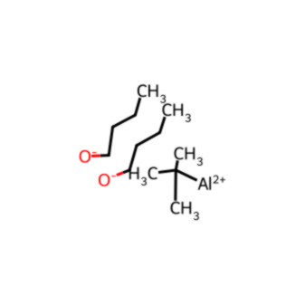 CCCC[O-].CCCC[O-].C[C](C)(C)[Al+2]